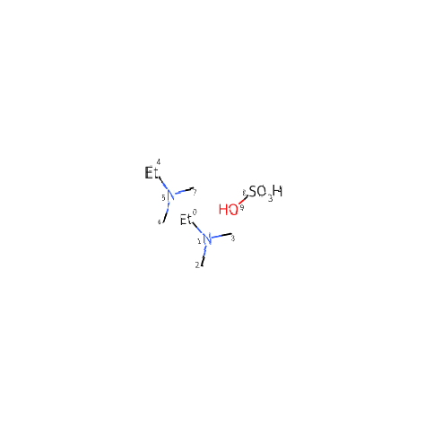 CCN(C)C.CCN(C)C.O=S(=O)(O)O